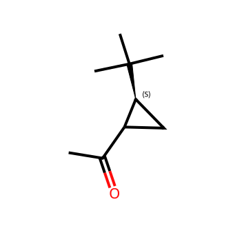 CC(=O)C1C[C@@H]1C(C)(C)C